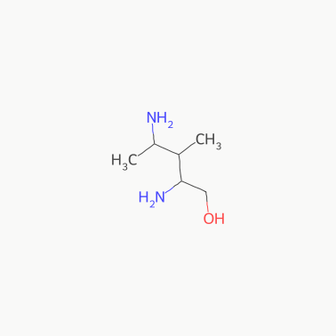 CC(N)C(C)C(N)CO